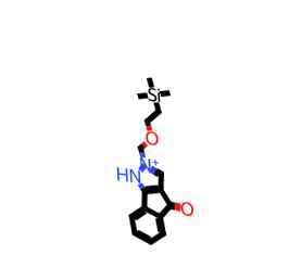 C[Si](C)(C)CCOC[n+]1cc2c([nH]1)-c1ccccc1C2=O